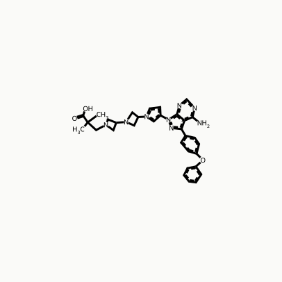 CC(C)(CN1CC(N2CC(n3ccc(-n4nc(-c5ccc(Oc6ccccc6)cc5)c5c(N)ncnc54)c3)C2)C1)C(=O)O